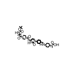 CN(C(=O)O)[C@H]1CC[C@H](NCc2ccc(-n3ccc(NC(=O)N4CCN(C(=O)C(C)(C)NC(=O)OC(C)(C)C)CC4)nc3=O)cc2)CC1